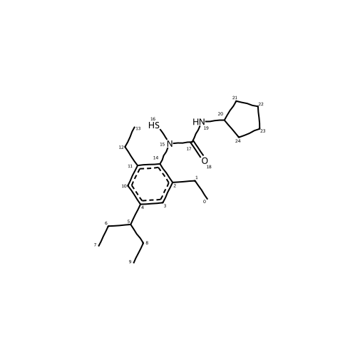 CCc1cc(C(CC)CC)cc(CC)c1N(S)C(=O)NC1CCCC1